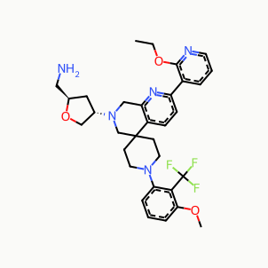 CCOc1ncccc1-c1ccc2c(n1)CN([C@@H]1CO[C@@H](CN)C1)CC21CCN(c2cccc(OC)c2C(F)(F)F)CC1